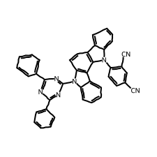 N#Cc1ccc(-n2c3ccccc3c3ccc4c(c5ccccc5n4-c4nc(-c5ccccc5)nc(-c5ccccc5)n4)c32)c(C#N)c1